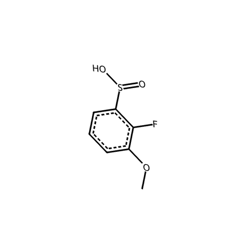 COc1cccc(S(=O)O)c1F